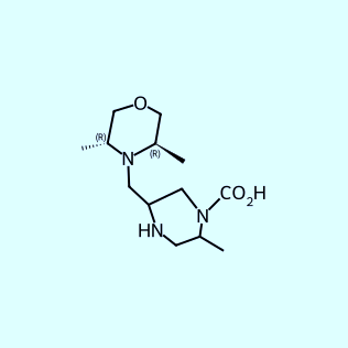 CC1CNC(CN2[C@H](C)COC[C@H]2C)CN1C(=O)O